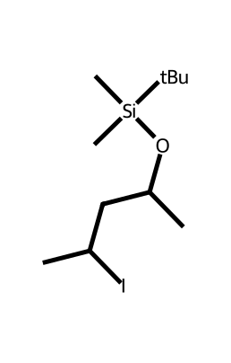 CC(I)CC(C)O[Si](C)(C)C(C)(C)C